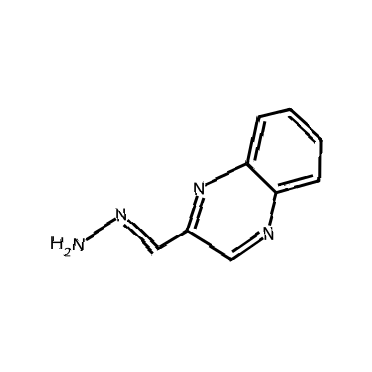 NN=Cc1cnc2ccccc2n1